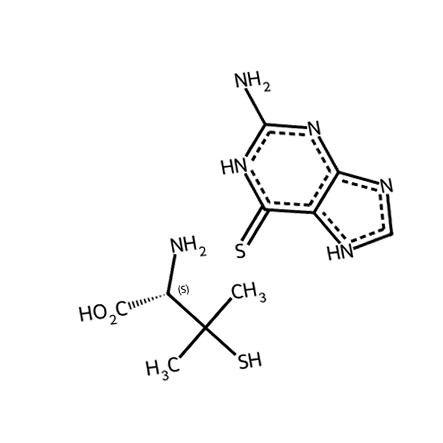 CC(C)(S)[C@@H](N)C(=O)O.Nc1nc2nc[nH]c2c(=S)[nH]1